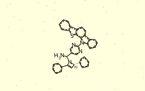 NC(c1cnc(-n2c3ccccc3c3ccc4c5ccccc5sc4c32)nc1)N1C(c2ccccc2)=C[C@H]1c1ccccc1